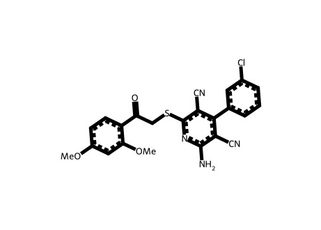 COc1ccc(C(=O)CSc2nc(N)c(C#N)c(-c3cccc(Cl)c3)c2C#N)c(OC)c1